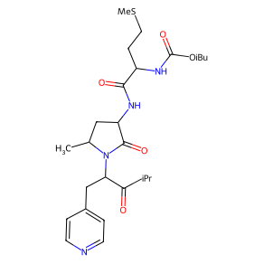 CSCCC(NC(=O)OCC(C)C)C(=O)NC1CC(C)N(C(Cc2ccncc2)C(=O)C(C)C)C1=O